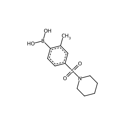 Cc1cc(S(=O)(=O)N2CCCCC2)ccc1B(O)O